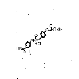 COC(=O)COc1ccc(CC(=O)NCc2ccc(C(=N)N)cc2)cc1.Cl